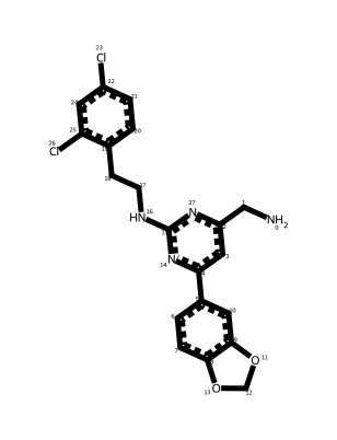 NCc1cc(-c2ccc3c(c2)OCO3)nc(NCCc2ccc(Cl)cc2Cl)n1